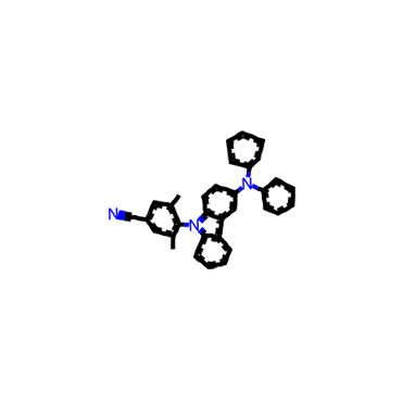 Cc1cc(C#N)cc(C)c1-n1c2ccccc2c2cc(N(c3ccccc3)c3ccccc3)ccc21